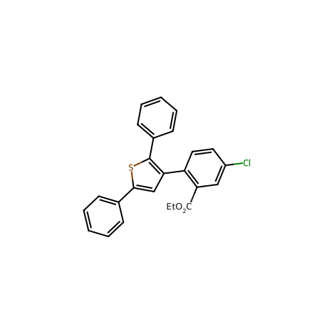 CCOC(=O)c1cc(Cl)ccc1-c1cc(-c2ccccc2)sc1-c1ccccc1